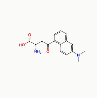 CN(C)c1ccc2c(C(=O)C[C@H](N)C(=O)O)cccc2c1